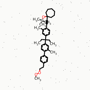 CCC(CC)(c1ccc(C#CC2(O[Si](C)(C)C)CCCCCC2)c(C)c1)c1ccc(-c2ccc(CCOOC)cc2)c(C)c1